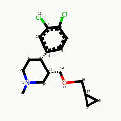 CN1CC[C@H](c2ccc(Cl)c(Cl)c2)[C@H](COCC2CC2)C1